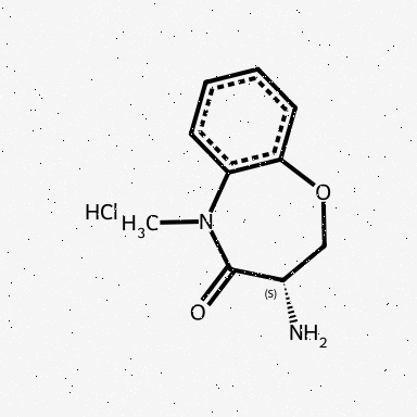 CN1C(=O)[C@@H](N)COc2ccccc21.Cl